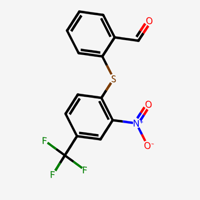 O=Cc1ccccc1Sc1ccc(C(F)(F)F)cc1[N+](=O)[O-]